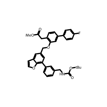 COC(=O)Cc1ccc(-c2ccc(F)cc2)cc1OCc1cc(-c2cccc(CNC(=O)OC(C)(C)C)c2)c2occc2c1